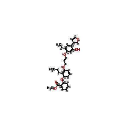 CCCc1c(OCCCOc2cc(O)c(-c3ccoc3)cc2CC)cccc1Oc1ccccc1C(=O)OC